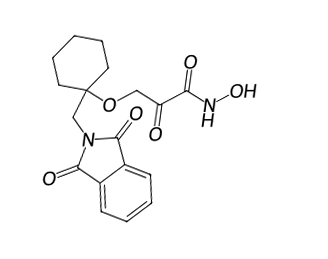 O=C(COC1(CN2C(=O)c3ccccc3C2=O)CCCCC1)C(=O)NO